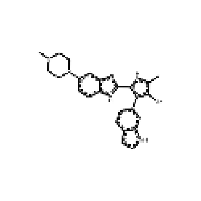 CC(=O)c1c(C)[nH]c(-c2nc3cc(N4CCN(C)CC4)ccc3[nH]2)c1-c1ccc2cc[nH]c2c1